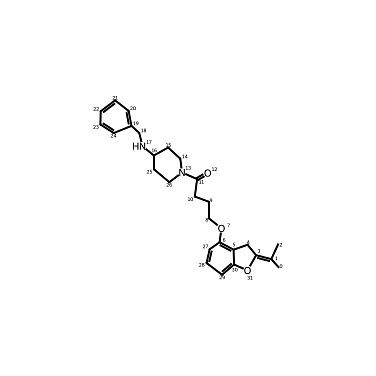 CC(C)=C1Cc2c(OCCCC(=O)N3CCC(NCc4ccccc4)CC3)cccc2O1